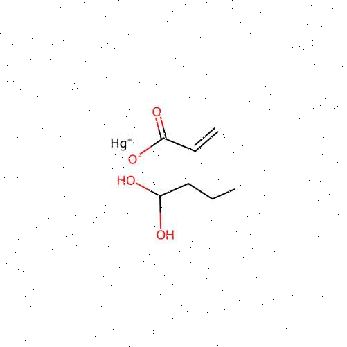 C=CC(=O)[O-].CCCC(O)O.[Hg+]